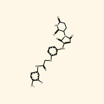 O=C1CCC(N2C(=O)C=C(Nc3cccc(OCC(=O)Nc4ccc(C(F)(F)F)c(Cl)c4)c3)C2=O)C(=O)N1